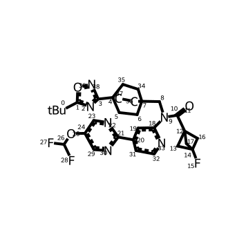 CC(C)(C)c1nc(C23CCC(CN(C(=O)C45CC(F)(C4)C5)c4cc(-c5ncc(OC(F)F)cn5)ccn4)(CC2)CC3)no1